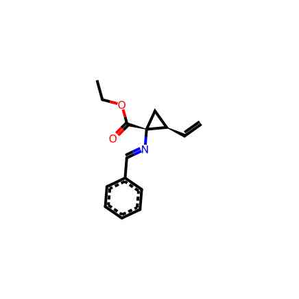 C=C[C@@H]1C[C@]1(/N=C/c1ccccc1)C(=O)OCC